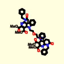 COC(=O)C1=C(C(=O)OC)C(NCCOCCN2c3ccccc3[C@]34CCC(=O)N(Cc5ccccc5)C3=NC(C(=O)OC)=C(C(=O)OC)C24)[C@@]2(c3ccccc3)CCC(=O)N(Cc3ccccc3)C2=N1